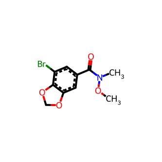 CON(C)C(=O)c1cc(Br)c2c(c1)OCO2